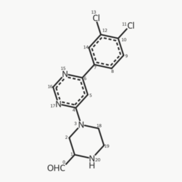 O=CC1CN(c2cc(-c3ccc(Cl)c(Cl)c3)ncn2)CCN1